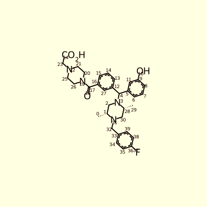 C[C@@H]1CN(C(c2cccc(O)c2)c2cccc(C(=O)N3CCN(CC(=O)O)CC3)c2)[C@H](C)CN1Cc1ccc(F)cc1